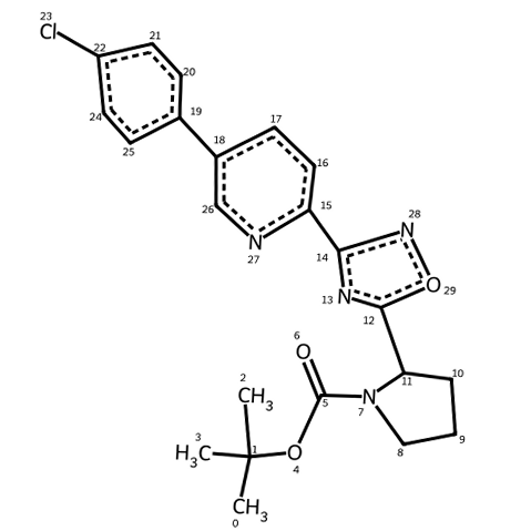 CC(C)(C)OC(=O)N1CCCC1c1nc(-c2ccc(-c3ccc(Cl)cc3)cn2)no1